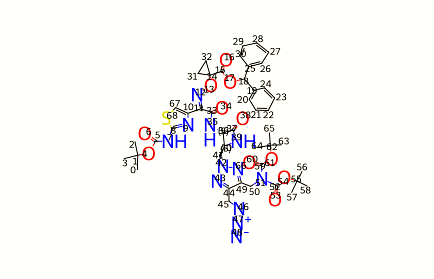 CC(C)(C)OC(=O)Nc1nc(C(=NOC2(C(=O)OC(c3ccccc3)c3ccccc3)CC2)C(=O)N[C@@H]2C(=O)N[C@H]2Cn2nc(CN=[N+]=[N-])c(CN(C(=O)OC(C)(C)C)C(=O)OC(C)(C)C)n2)cs1